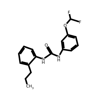 CCCc1ccccc1NC(=O)Nc1cccc(OC(F)F)c1